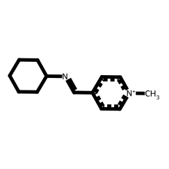 C[n+]1ccc(C=NC2CCCCC2)cc1